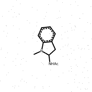 CC(=O)NC1Cc2ccccc2N1C